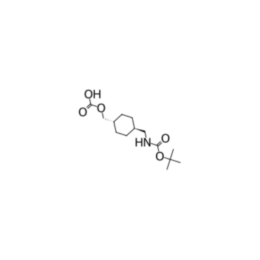 CC(C)(C)OC(=O)NC[C@H]1CC[C@H](COC(=O)O)CC1